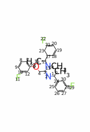 C[C@H](/N=C(/COc1cccc(F)c1)N(C)[C@@H](C)C1C=CC=C(F)C1)c1cccc(F)c1